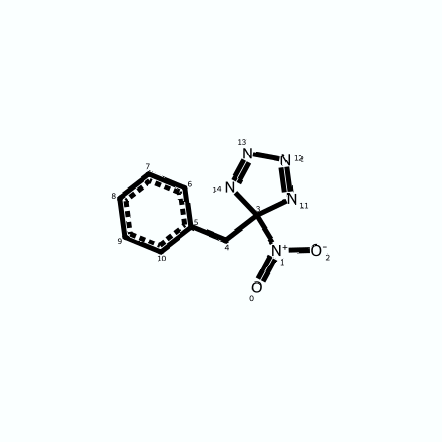 O=[N+]([O-])C1(Cc2ccccc2)N=NN=N1